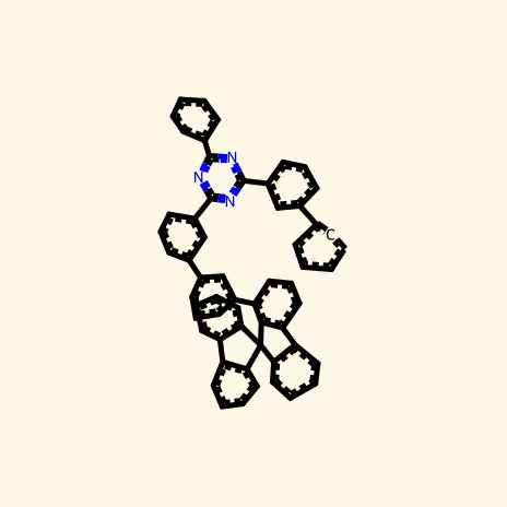 c1ccc(-c2cccc(-c3nc(-c4ccccc4)nc(-c4cccc(-c5cccc(-c6cccc7c6C6(c8ccccc8-c8ccccc86)c6ccccc6-7)c5)c4)n3)c2)cc1